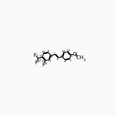 COc1ccc(C=Cc2ccc(C(F)F)c(F)c2)cc1